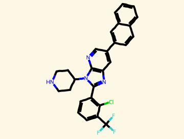 FC(F)(F)c1cccc(-c2nc3cc(-c4ccc5ccccc5c4)cnc3n2C2CCNCC2)c1Cl